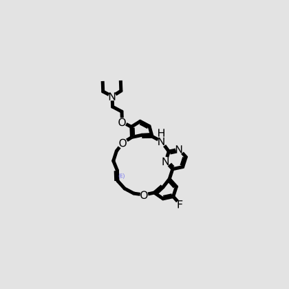 CCN(CC)CCOc1ccc2cc1OCC/C=C/CCOc1cc(F)cc(c1)-c1ccnc(n1)N2